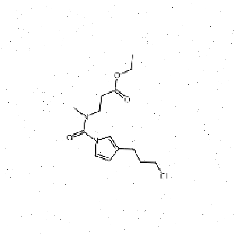 CCOC(=O)CCN(C)C(=O)n1ccc(CCCCl)c1